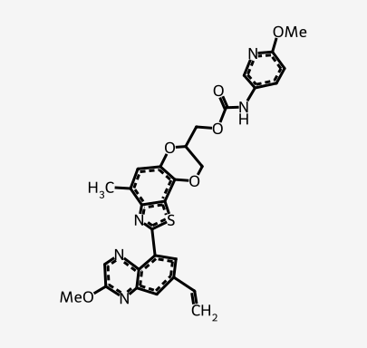 C=Cc1cc(-c2nc3c(C)cc4c(c3s2)OCC(COC(=O)Nc2ccc(OC)nc2)O4)c2ncc(OC)nc2c1